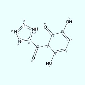 O=C1C(O)=CC=C(O)C1C(=O)c1nnn[nH]1